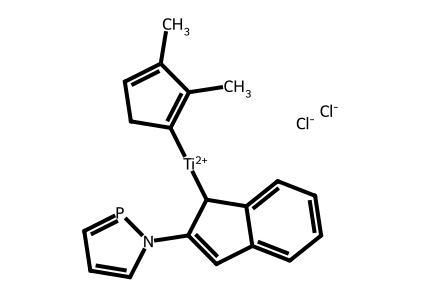 CC1=CC[C]([Ti+2][CH]2C(n3cccp3)=Cc3ccccc32)=C1C.[Cl-].[Cl-]